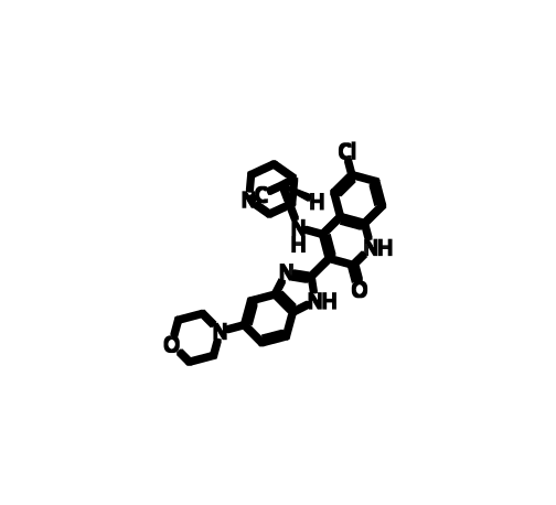 O=c1[nH]c2ccc(Cl)cc2c(N[C@@H]2CN3CCC2CC3)c1-c1nc2cc(N3CCOCC3)ccc2[nH]1